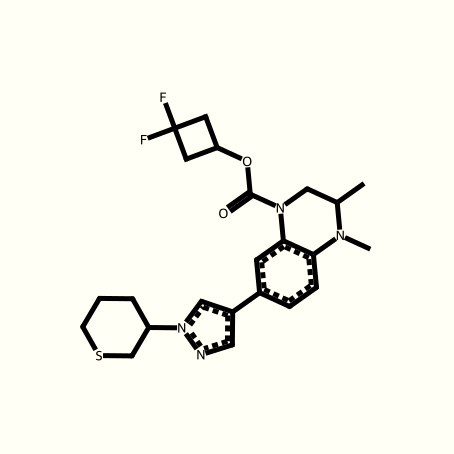 CC1CN(C(=O)OC2CC(F)(F)C2)c2cc(-c3cnn(C4CCCSC4)c3)ccc2N1C